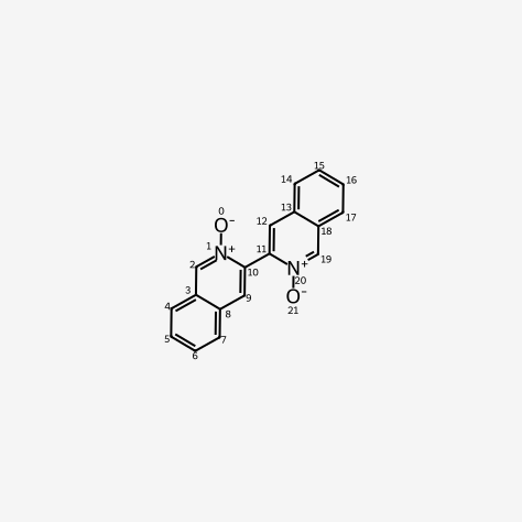 [O-][n+]1cc2ccccc2cc1-c1cc2ccccc2c[n+]1[O-]